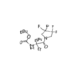 CCCC(CC)(NC(=O)OC(C)(C)C)C(=O)N1CC(F)(F)C(F)(F)C1